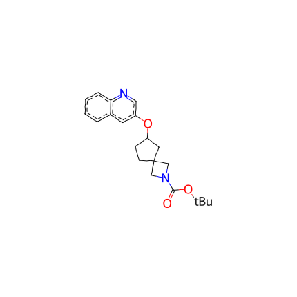 CC(C)(C)OC(=O)N1CC2(CCC(Oc3cnc4ccccc4c3)C2)C1